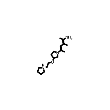 C/C(=C\C(C)=C(/C)N)N1CCC(OCC[N+]2(C)CCCC2)C1